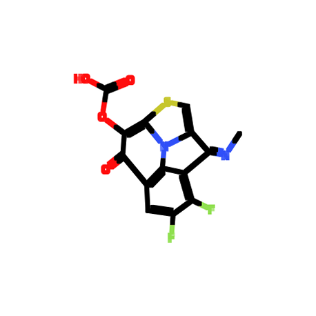 CN=c1c2c(F)c(F)cc3c(=O)c(OC(=O)O)c4scc1n4c32